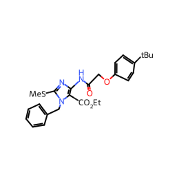 CCOC(=O)c1c(NC(=O)COc2ccc(C(C)(C)C)cc2)nc(SC)n1Cc1ccccc1